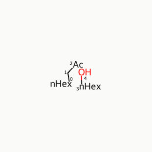 CCCCCCCC(C)=O.CCCCCCO